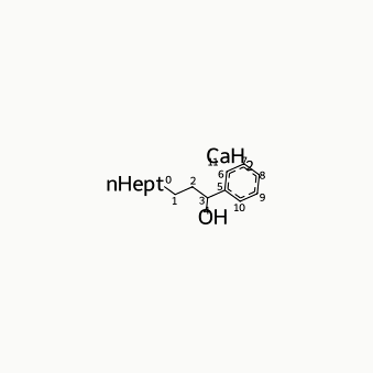 CCCCCCCCCC(O)c1ccccc1.[CaH2]